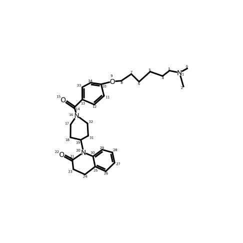 CN(C)CCCCCCOc1ccc(C(=O)N2CCC(N3C(=O)CCc4ccccc43)CC2)cc1